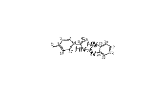 Cc1ccc(C(=S)Nc2nc3ccccc3[nH]2)cc1